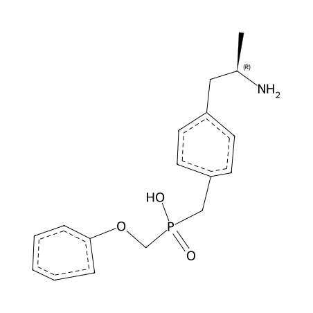 C[C@@H](N)Cc1ccc(CP(=O)(O)COc2ccccc2)cc1